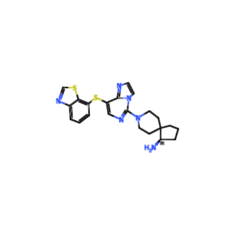 N[C@@H]1CCCC12CCN(c1ncc(Sc3cccc4ncsc34)c3nccn13)CC2